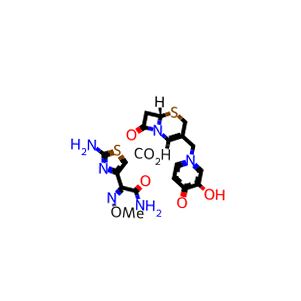 CO/N=C(\C(N)=O)c1csc(N)n1.O=C(O)C1=C(Cn2ccc(=O)c(O)c2)CS[C@H]2CC(=O)N12